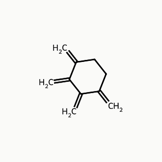 C=C1CCC(=C)C(=C)C1=C